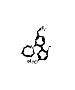 COc1ccc(F)c(-c2ccc(CC(C)C)cc2N2CCCCCC2)c1